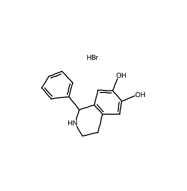 Br.Oc1cc2c(cc1O)C(c1ccccc1)NCC2